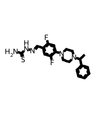 CC(c1ccccc1)N1CCN(c2cc(F)c(C=NNC(N)=S)cc2F)CC1